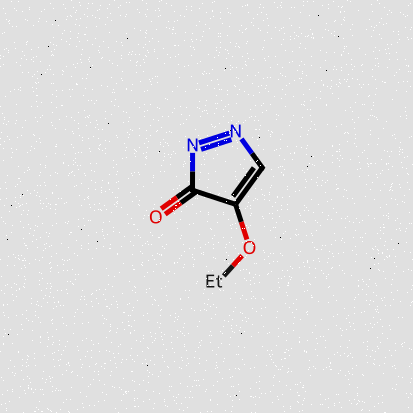 CCOC1=CN=NC1=O